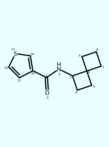 O=C(NC1CCC12CCC2)c1ccsc1